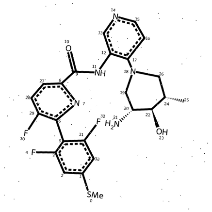 CSc1cc(F)c(-c2nc(C(=O)Nc3cnccc3N3C[C@@H](N)[C@H](O)[C@@H](C)C3)ccc2F)c(F)c1